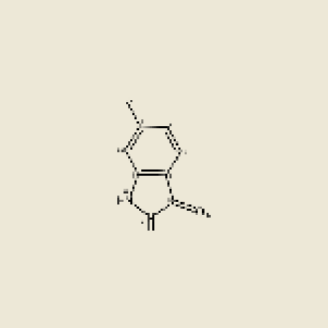 Cc1ccc2c(=O)[nH][nH]c2c1